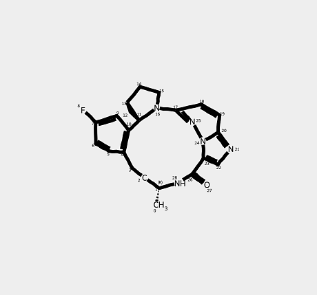 C[C@@H]1CCc2ccc(F)cc2C23CC2CCN3c2ccc3ncc(n3n2)C(=O)N1